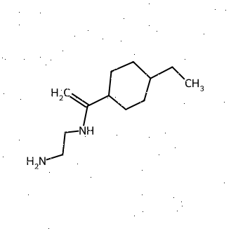 C=C(NCCN)C1CCC(CC)CC1